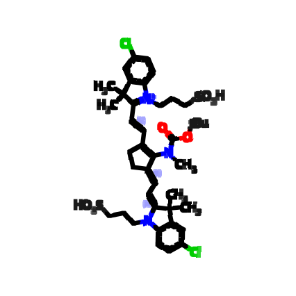 CN(C(=O)OC(C)(C)C)C1=C(/C=C/C2=[N+](CCCS(=O)(=O)O)c3ccc(Cl)cc3C2(C)C)CC/C1=C\C=C1\N(CCCS(=O)(=O)O)c2ccc(Cl)cc2C1(C)C